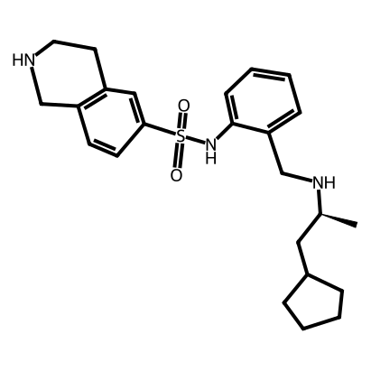 C[C@@H](CC1CCCC1)NCc1ccccc1NS(=O)(=O)c1ccc2c(c1)CCNC2